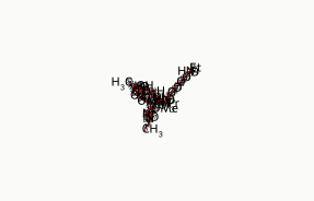 C/C=C/C1=CN2C(=O)c3cc(OC)c(OCCCOc4cc5c(cc4OC)C(=O)N4C=C(/C=C/C)C[C@H]4C(O)N5C(=O)OCc4ccc(NC(=O)C(C)NC(=O)[C@@H](NC(=O)CCOCCOCCOCCOCCNC(=O)CC)C(C)C)cc4)cc3N=CC2C1